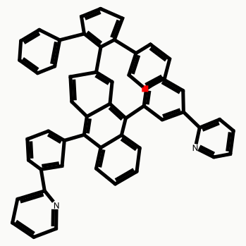 c1ccc(-c2cccc(-c3ccccc3)c2-c2ccc3c(-c4cccc(-c5ccccn5)c4)c4ccccc4c(-c4cccc(-c5ccccn5)c4)c3c2)cc1